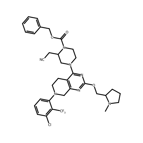 CN1CCCC1COc1nc2c(c(N3CCN(C(=O)OCc4ccccc4)C(CC#N)C3)n1)CCN(c1cccc(Cl)c1C(F)(F)F)C2